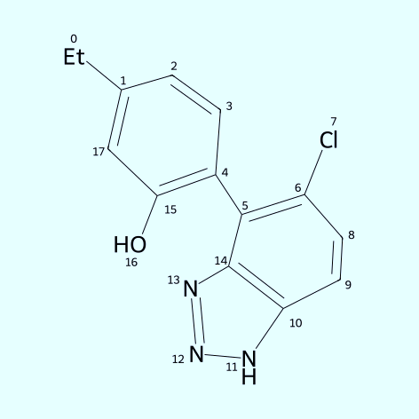 CCc1ccc(-c2c(Cl)ccc3[nH]nnc23)c(O)c1